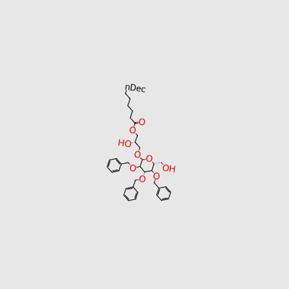 CCCCCCCCCCCCCCCC(=O)OC[C@@H](O)CO[C@H]1O[C@H](CO)[C@@H](OCc2ccccc2)[C@H](OCc2ccccc2)[C@H]1OCc1ccccc1